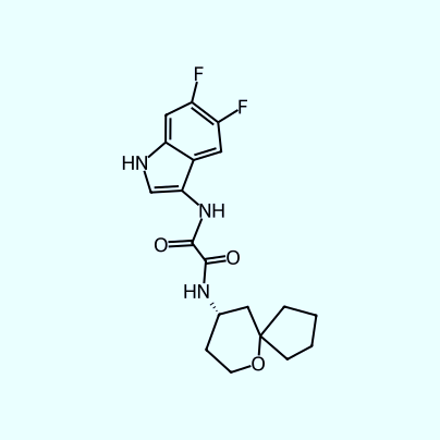 O=C(Nc1c[nH]c2cc(F)c(F)cc12)C(=O)N[C@H]1CCOC2(CCCC2)C1